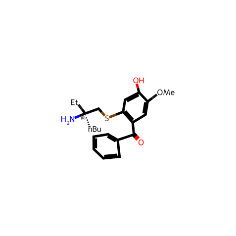 CCCC[C@](N)(CC)CSc1cc(O)c(OC)cc1C(=O)c1ccccc1